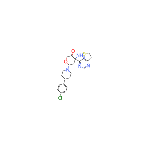 NC1(c2ncnc3c2SCC3)CC(N2CCC(c3ccc(Cl)cc3)CC2)OCC1=O